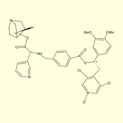 COc1ccc([C@H](Cc2c(Cl)c[n+]([O-])cc2Cl)OC(=O)c2ccc(CNC(C(=O)O[C@H]3CN4CCC3CC4)c3cccnc3)cc2)cc1OC